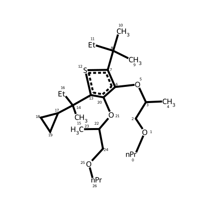 CCCOCC(C)Oc1c(C(C)(C)CC)sc(C(C)(CC)C2CC2)c1OC(C)COCCC